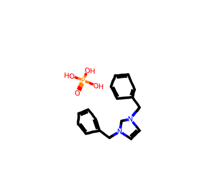 C1=CN(Cc2ccccc2)CN1Cc1ccccc1.O=P(O)(O)O